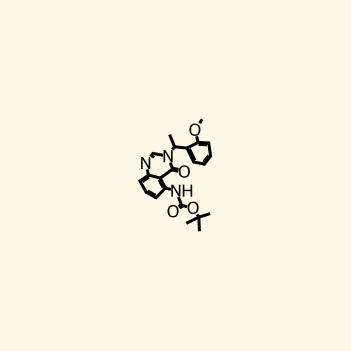 COc1ccccc1C(C)n1cnc2cccc(NC(=O)OC(C)(C)C)c2c1=O